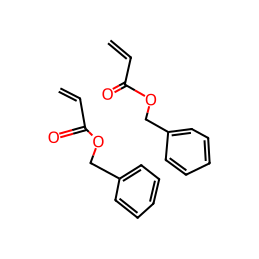 C=CC(=O)OCc1ccccc1.C=CC(=O)OCc1ccccc1